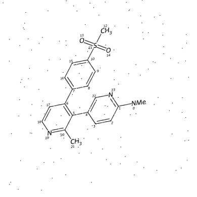 CNc1ccc(-c2c(-c3ccc(S(C)(=O)=O)cc3)ccnc2C)cn1